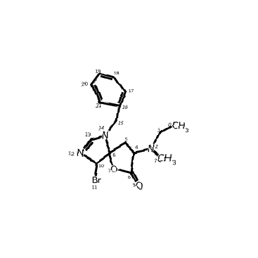 CCN(C)C1CC2(OC1=O)C(Br)N=CN2Cc1ccccc1